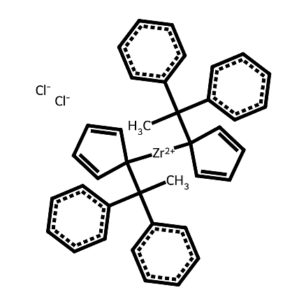 CC(c1ccccc1)(c1ccccc1)[C]1([Zr+2][C]2(C(C)(c3ccccc3)c3ccccc3)C=CC=C2)C=CC=C1.[Cl-].[Cl-]